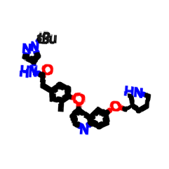 Cc1cc(CC(=O)Nc2cnn(C(C)(C)C)c2)ccc1Oc1ccnc2ccc(OC[C@@H]3CCCNC3)cc12